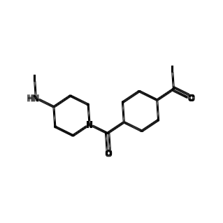 O=C(I)C1CCC(C(=O)N2CCC(NI)CC2)CC1